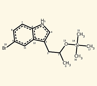 CC(Cc1c[nH]c2ccc(Br)cc12)O[Si](C)(C)C